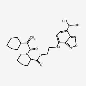 C=C(C(=O)N1CCCCC1C(=O)OCCNc1ccc(N(O)O)c2nonc12)C1CCCCC1